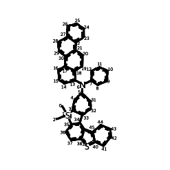 C[Si]1(C)c2cc(N(c3ccccc3)c3cccc4c3ccc3c5ccccc5ccc43)ccc2-c2c1ccc1sc3ccccc3c21